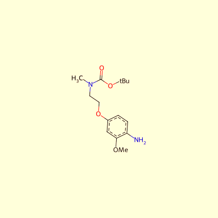 COc1cc(OCCN(C)C(=O)OC(C)(C)C)ccc1N